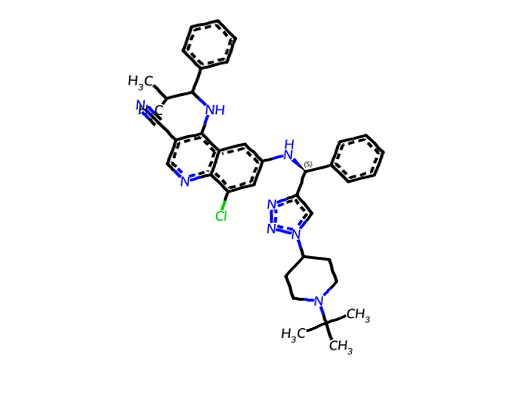 CC(C)C(Nc1c(C#N)cnc2c(Cl)cc(N[C@@H](c3ccccc3)c3cn(C4CCN(C(C)(C)C)CC4)nn3)cc12)c1ccccc1